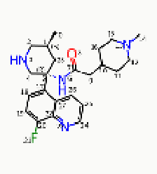 C[C@@H]1CNC[C@](NC(=O)CC2CCN(C)CC2)(c2ccc(F)c3ncccc23)C1